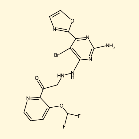 Nc1nc(NNCC(=O)c2ncccc2OC(F)F)c(Br)c(-c2ncco2)n1